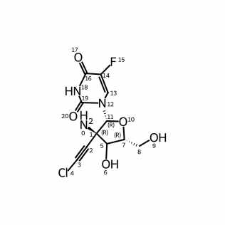 N[C@]1(C#CCl)C(O)[C@@H](CO)O[C@H]1n1cc(F)c(=O)[nH]c1=O